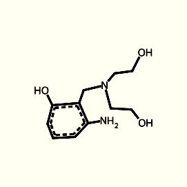 Nc1cccc(O)c1CN(CCO)CCO